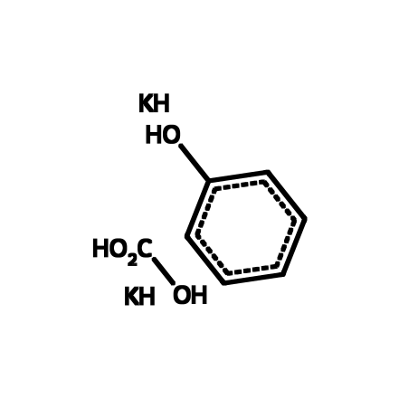 O=C(O)O.Oc1ccccc1.[KH].[KH]